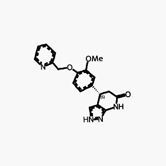 COc1cc([C@@H]2CC(=O)Nc3n[nH]cc32)ccc1OCc1ccccn1